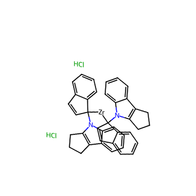 C1=C[C]([Zr][C]2(n3c4c(c5ccccc53)CCC4)C=Cc3ccccc32)(n2c3c(c4ccccc42)CCC3)c2ccccc21.Cl.Cl